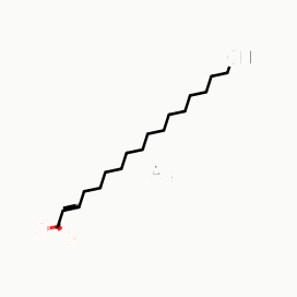 CCCCCCCCCCCCCCC/C=C/C(=O)[O-].[Ag+]